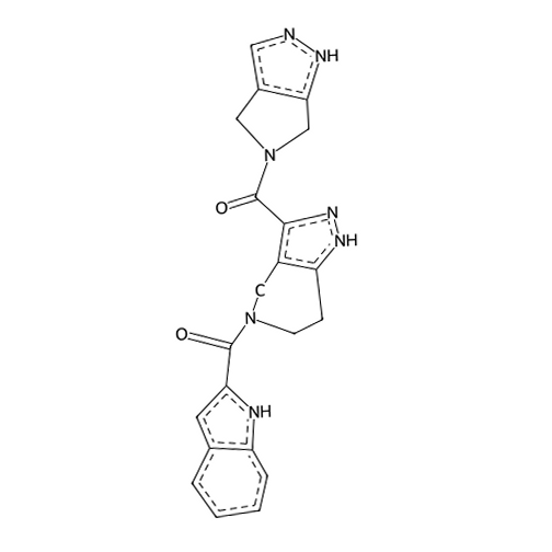 O=C(c1cc2ccccc2[nH]1)N1CCc2[nH]nc(C(=O)N3Cc4cn[nH]c4C3)c2C1